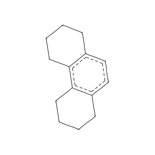 c1cc2c(c3c1CCCC3)CCCC2